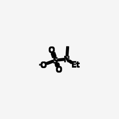 CCN(C)S([O])(=O)=O